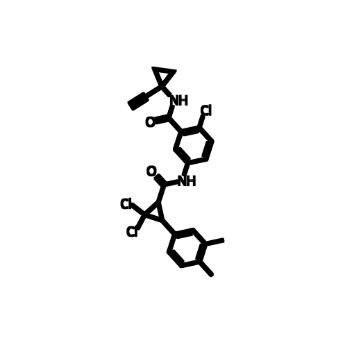 C#CC1(NC(=O)c2cc(NC(=O)C3C(c4ccc(C)c(C)c4)C3(Cl)Cl)ccc2Cl)CC1